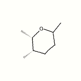 CC1CC[C@H](C)[C@H](C)O1